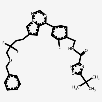 CC(C)(C)c1nc(C(=O)NCc2ccc(-c3ncnn4cc(CCC(F)(F)COCc5ccccc5)cc34)cc2F)no1